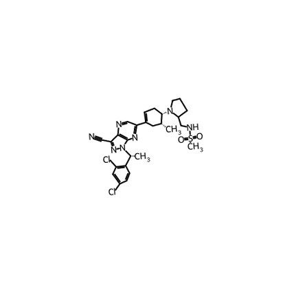 C[C@@H]1CC(c2cnc3c(C#N)nn([C@H](C)c4ccc(Cl)cc4Cl)c3n2)=CC[C@@H]1N1CCCC1CNS(C)(=O)=O